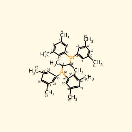 Cc1cc(C)cc(P(c2cc(C)cc(C)c2)C(C)C(C)P(c2cc(C)cc(C)c2)c2cc(C)cc(C)c2)c1